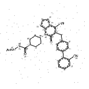 CCCc1c(Cc2ccc(-c3ccccc3C#N)cc2)c(=O)n([C@H]2CC[C@H](C(=O)NNC(C)=O)CC2)c2ncnn12